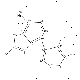 CC1=Cc2c(-c3cccc(C)c3C)ccc(Br)c2C1